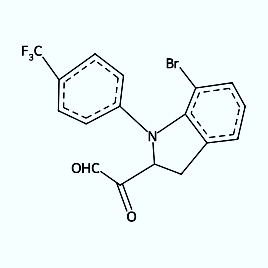 O=CC(=O)C1Cc2cccc(Br)c2N1c1ccc(C(F)(F)F)cc1